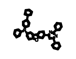 c1ccc(-c2ccc(N(c3ccccc3)c3ccc4oc5cc(-c6cc(-c7ccccc7)nc(-c7ccccc7)n6)ccc5c4c3)cc2)cc1